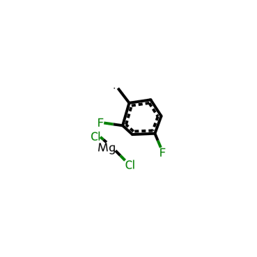 [CH2]c1ccc(F)cc1F.[Cl][Mg][Cl]